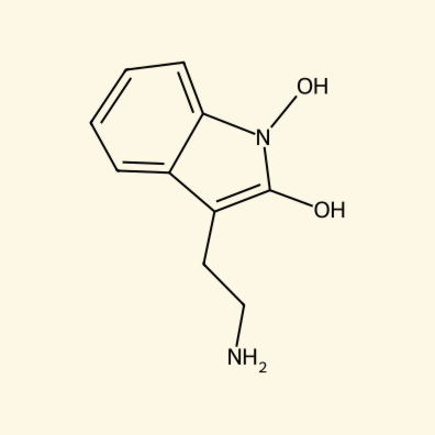 NCCc1c(O)n(O)c2ccccc12